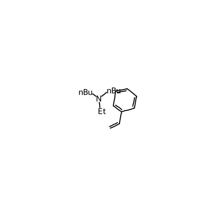 C=Cc1ccccc1.CCCCN(CC)CCCC